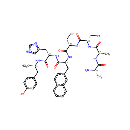 CC(C)C[C@H](NC(=O)[C@H](C)NC(=O)[C@H](C)N)C(=O)N[C@@H](CC(C)C)C(=O)N[C@@H](Cc1ccc2ccccc2c1)C(=O)N[C@@H](Cc1c[nH]cn1)C(=O)N[C@@H](Cc1ccc(O)cc1)C(=O)O